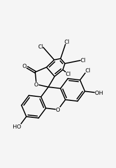 O=C1OC2(c3ccc(O)cc3Oc3cc(O)c(Cl)cc32)c2c(Cl)c(Cl)c(Cl)c(Cl)c21